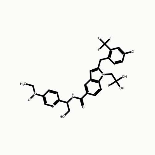 CC[S+]([O-])c1ccc(C(CO)NC(=O)c2ccc3c(c2)cc(Cc2ccc(Cl)cc2C(F)(F)F)n3CC(O)(O)F)nc1